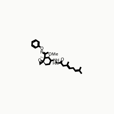 CO[C@@H]1C(NNC(=O)C/C(C)=C/CC=C(C)C)CC[C@]2(CO2)[C@@]1(C)/C(C)=N/Oc1ccccc1